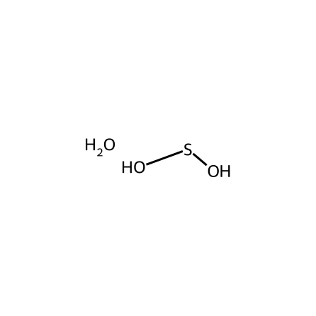 O.OSO